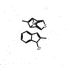 CC1=C2c3cscc3C1[Si]2(C)C.CC1=Cc2ccccc2[CH]1[Zr]